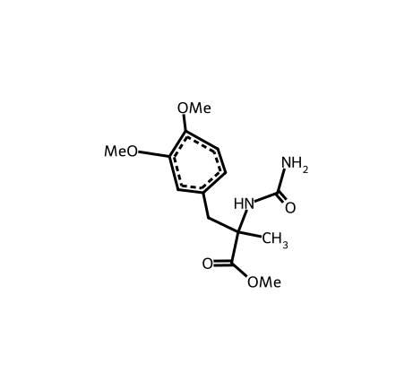 COC(=O)C(C)(Cc1ccc(OC)c(OC)c1)NC(N)=O